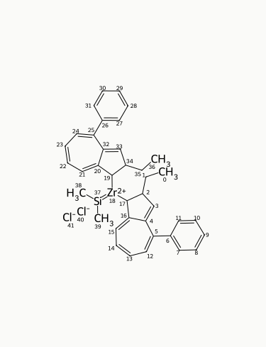 CCC1C=C2C(c3ccccc3)=CC=CC=C2[CH]1[Zr+2]([CH]1C2=CC=CC=C(c3ccccc3)C2=CC1CC)=[Si](C)C.[Cl-].[Cl-]